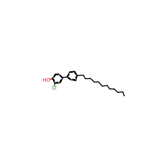 CCCCCCCCCCCCc1ccc(-c2ccc(O)c(Cl)c2)cc1